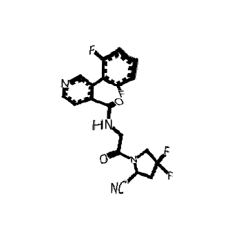 N#CC1CC(F)(F)CN1C(=O)CNC(=O)c1ccncc1-c1c(F)cccc1F